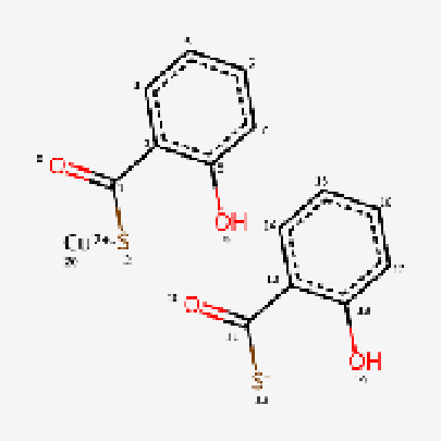 O=C([S-])c1ccccc1O.O=C([S-])c1ccccc1O.[Cu+2]